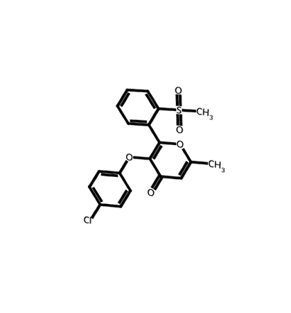 Cc1cc(=O)c(Oc2ccc(Cl)cc2)c(-c2ccccc2S(C)(=O)=O)o1